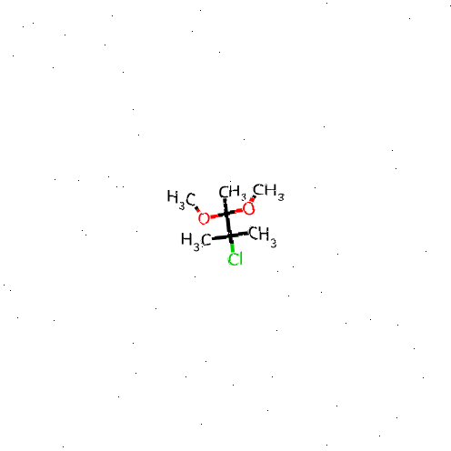 COC(C)(OC)C(C)(C)Cl